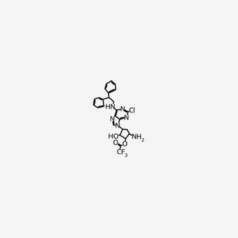 NC1CC(n2cnc3c(NCC(c4ccccc4)c4ccccc4)nc(Cl)nc32)C(O)C1OC(=O)C(F)(F)F